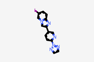 Ic1ccc2nc(-c3ccc(-n4nccn4)nc3)cn2c1